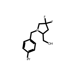 CC(C)c1ccc(CN2CC(F)(F)CC2CO)cc1